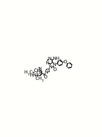 CC(C)NC(C)(C)C=C(C#N)C(=O)N1CC(n2c(=O)n(-c3ccc(Oc4ccccc4)cc3)c3c(N)ncnc32)C1